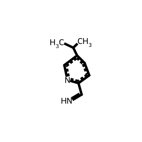 CC(C)c1ccc(C=N)nc1